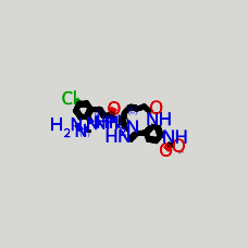 COC(=O)Nc1ccc2c(c1)NC(=O)C/C=C/C[C@H](NC(=O)/C=C/c1cc(Cl)ccc1N(N)/C=N\N)c1nc-2c[nH]1